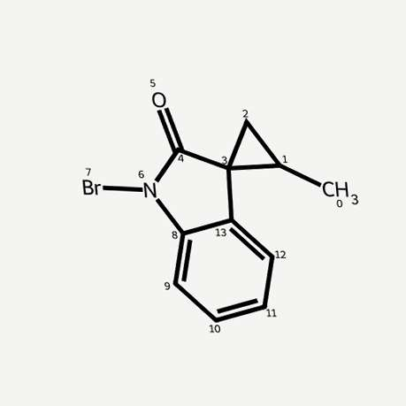 CC1CC12C(=O)N(Br)c1ccccc12